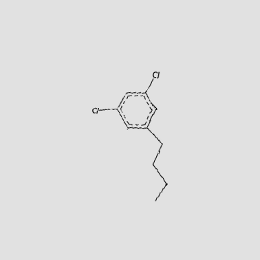 CCCCc1[c]c(Cl)cc(Cl)c1